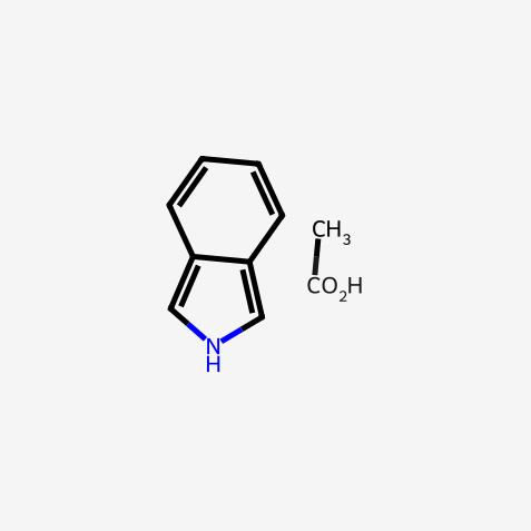 CC(=O)O.c1ccc2c[nH]cc2c1